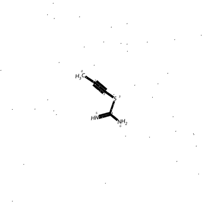 CC#CSC(=N)N